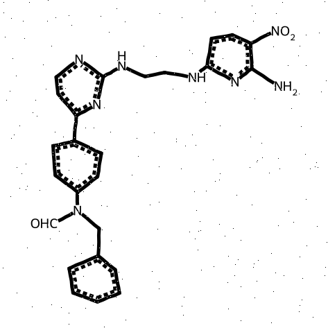 Nc1nc(NCCNc2nccc(-c3ccc(N(C=O)Cc4ccccc4)cc3)n2)ccc1[N+](=O)[O-]